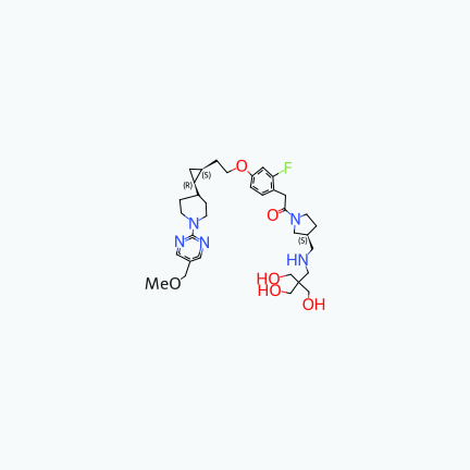 COCc1cnc(N2CCC([C@H]3C[C@H]3CCOc3ccc(CC(=O)N4CC[C@@H](CNCC(CO)(CO)CO)C4)c(F)c3)CC2)nc1